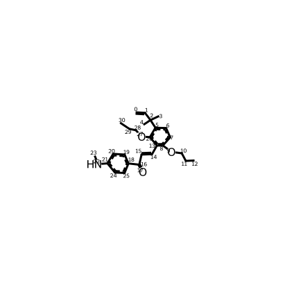 C=CC(C)(C)c1ccc(OCCC)c(C=CC(=O)c2ccc(NC)cc2)c1OCCC